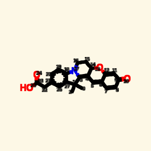 CC1(C)C2=C3C=C4C=CC(=O)C=C4OC3CCN2c2ccc(CC(=O)O)cc21